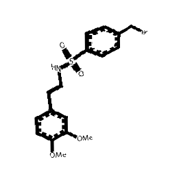 COc1ccc(CCNS(=O)(=O)c2ccc(CBr)cc2)cc1OC